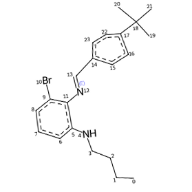 CCCCNc1cccc(Br)c1/N=C/c1ccc(C(C)(C)C)cc1